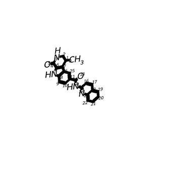 CC1CNC(=O)c2[nH]c3ccc(C(=O)Nc4ccc5ccccc5n4)cc3c21